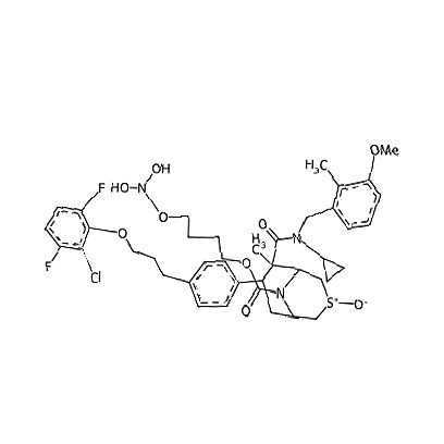 COc1cccc(CN(C(=O)C2(C)C(c3ccc(CCCOc4c(F)ccc(F)c4Cl)cc3)CC3C[S+]([O-])CC2N3C(=O)OCCCCON(O)O)C2CC2)c1C